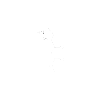 COC(=O)CC(=O)c1cc[nH]c1